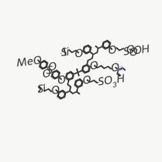 C=C/C(=C\C)OCCCCCOc1ccc(C(C)(C)c2ccc(Oc3ccc(S(=O)(=O)c4ccc(OC)cc4)cc3)c(CCC(CC(C)c3cccc(OCCCS(=O)(=O)O)c3)c3cccc(OCCC[Si](C)(C)C)c3)c2)cc1CCC(CC(C)c1cccc(OCCCSOOO)c1)c1cccc(OCCC[Si](C)(C)C)c1